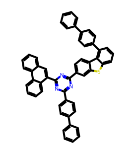 c1ccc(-c2ccc(-c3nc(-c4ccc5c(c4)sc4cccc(-c6ccc(-c7ccccc7)cc6)c45)nc(-c4cc5ccccc5c5ccccc45)n3)cc2)cc1